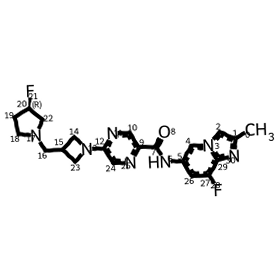 Cc1cn2cc(NC(=O)c3cnc(N4CC(CN5CC[C@@H](F)C5)C4)cn3)cc(F)c2n1